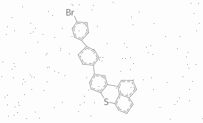 Brc1ccc(-c2ccc(-c3ccc4c(c3)-c3cccc5cccc(c35)S4)cc2)cc1